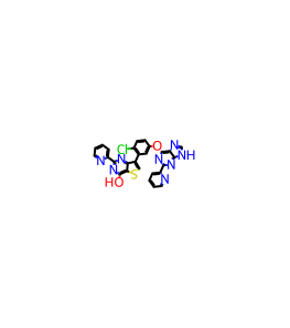 Oc1nc(-c2ccccn2)nc2c(-c3cc(Oc4nc(-c5ccccn5)nc5[nH]cnc45)ccc3Cl)csc12